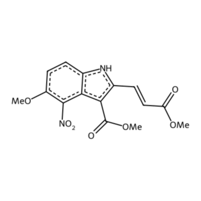 COC(=O)C=Cc1[nH]c2ccc(OC)c([N+](=O)[O-])c2c1C(=O)OC